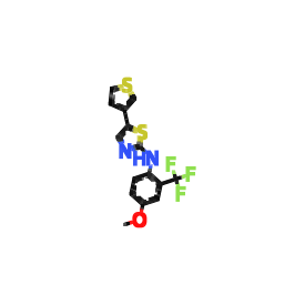 COc1ccc(Nc2ncc(-c3ccsc3)s2)c(C(F)(F)F)c1